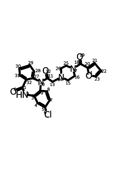 O=C1Nc2cc(Cl)ccc2N(C(=O)CN2CCN(C(=O)c3ccco3)CC2)c2ccccc21